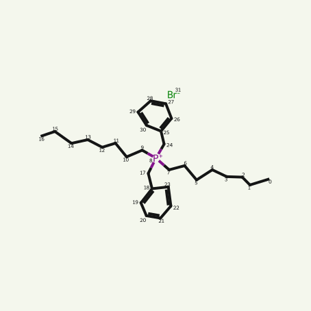 CCCCCCCC[P+](CCCCCCCC)(Cc1ccccc1)Cc1ccccc1.[Br-]